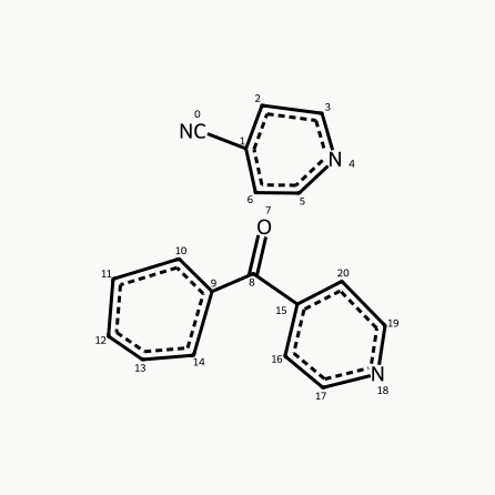 N#Cc1ccncc1.O=C(c1ccccc1)c1ccncc1